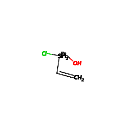 C=C[SiH2]Cl.CCO